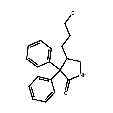 O=C1NCC(CCCCl)C1(c1ccccc1)c1ccccc1